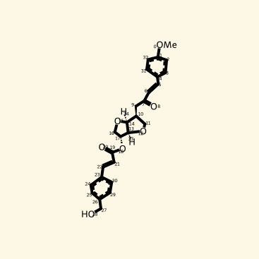 COc1ccc(/C=C/C(=O)C[C@H]2CO[C@@H]3[C@H]2OC[C@H]3OC(=O)/C=C/c2ccc(CO)cc2)cc1